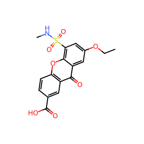 CCOc1cc(S(=O)(=O)NC)c2oc3ccc(C(=O)O)cc3c(=O)c2c1